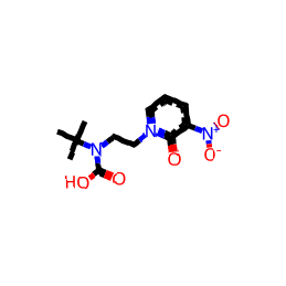 CC(C)(C)N(CCn1cccc([N+](=O)[O-])c1=O)C(=O)O